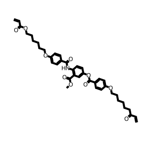 C=CC(=O)CCCCCCOc1ccc(C(=O)Oc2ccc(NC(=O)c3ccc(OCCCCCCOC(=O)C=C)cc3)c(C(=O)OC)c2)cc1